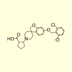 O=C(O)C1CCCC1N1CCC2(CC1)COc1cc(OCc3c(Cl)cccc3Cl)ccc12